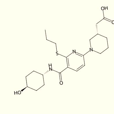 CCCSc1nc(N2CCC[C@@H](CC(=O)O)C2)ccc1C(=O)N[C@H]1CC[C@H](O)CC1